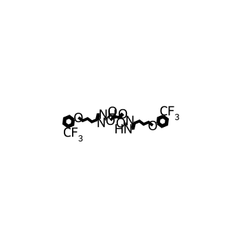 O=C(Oc1nc(CCCOc2cccc(C(F)(F)F)c2)c[nH]1)C(=O)Oc1nc(CCCOc2cccc(C(F)(F)F)c2)c[nH]1